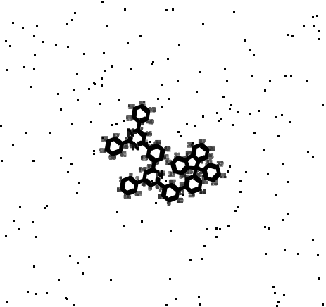 c1ccc(-c2cc(-c3cccc(-c4cccc(C5(c6ccccc6)c6ccccc6-c6ccccc65)c4)c3)nc(-c3cccc(-c4cc(-c5ccccc5)nc(-c5ccccc5)n4)c3)c2)cc1